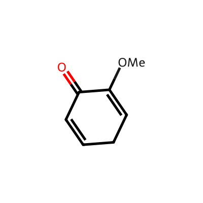 COC1=CCC=CC1=O